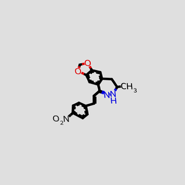 CC1Cc2cc3c(cc2C(C=Cc2ccc([N+](=O)[O-])cc2)=NN1)OCO3